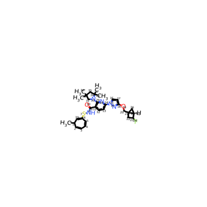 CC1C=CC=CC(SNC(=O)c2ccc(-n3ccc(OCC45CC(F)[C@H]4C5)n3)nc2N2CC(C)(C)CC2(C)C)=C1